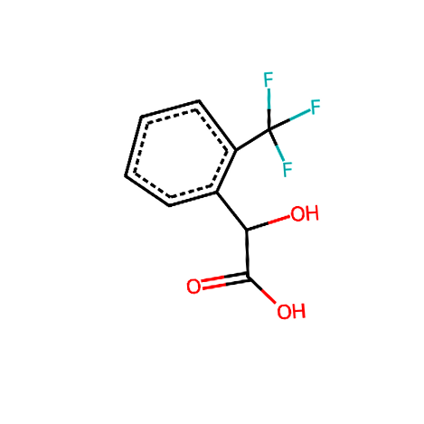 O=C(O)C(O)c1ccccc1C(F)(F)F